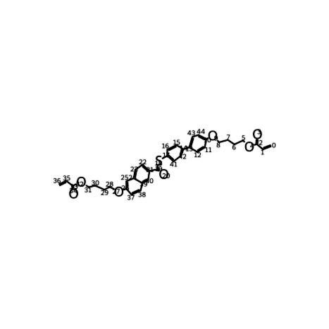 C=CC(=O)OCCCCOc1ccc(-c2ccc(SC(=O)c3ccc4cc(OCCCCOC(=O)C=C)ccc4c3)cc2)cc1